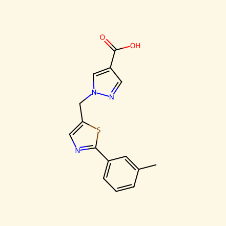 Cc1cccc(-c2ncc(Cn3cc(C(=O)O)cn3)s2)c1